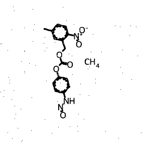 C.Cc1ccc([N+](=O)[O-])c(COC(=O)Oc2ccc(NN=O)cc2)c1